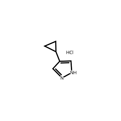 Cl.c1n[nH]cc1C1CC1